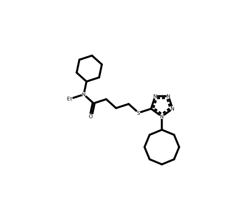 CCN(C(=O)CCCSc1nnnn1C1CCCCCCC1)C1CCCCC1